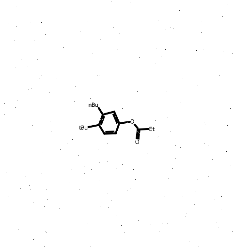 CCCCc1cc(OC(=O)CC)ccc1C(C)(C)C